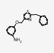 Nc1cccc(OCc2csc(Cc3ccccc3)n2)c1